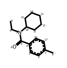 [CH2]c1ccc(C(=O)N(CC)C2CCCCC2)cc1